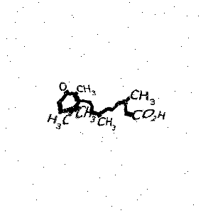 CC1=C(CCC(C)CCCC(C)CC(=O)O)C(C)(C)CCC1=O